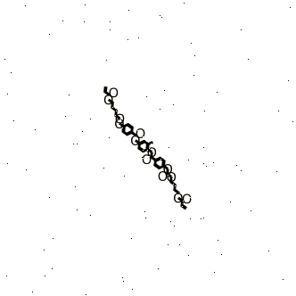 C=CC(=O)OCCCCOOc1ccc(C(=O)Oc2ccc(OC(=O)c3ccc(OC(=O)OCCCCOC(=O)C=C)cc3)c(C)c2)cc1